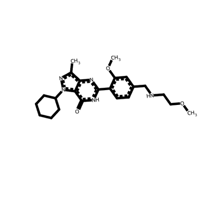 COCCNCc1ccc(-c2nc3c(C)nn(C4CCCCC4)c3c(=O)[nH]2)c(OC)c1